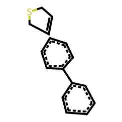 C1=CCSC1.c1ccc(-c2ccccc2)cc1